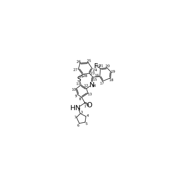 O=C(NC1CCCC1)c1ccc2c(c1)N=C(c1ccccc1F)c1ccccc1S2